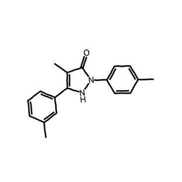 Cc1ccc(-n2[nH]c(-c3cccc(C)c3)c(C)c2=O)cc1